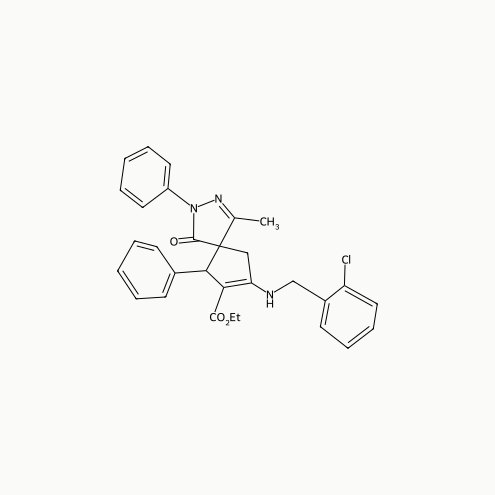 CCOC(=O)C1=C(NCc2ccccc2Cl)CC2(C(=O)N(c3ccccc3)N=C2C)C1c1ccccc1